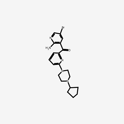 Nc1ncc(Br)cc1C(=O)c1cccc(N2CCN(C3CCCC3)CC2)n1